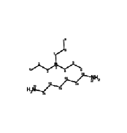 CCCB(CCC)CCC.NCCCCCCN